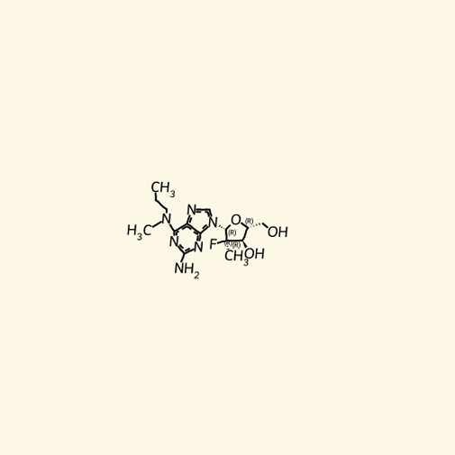 CCCN(C)c1nc(N)nc2c1ncn2[C@@H]1O[C@H](CO)[C@@H](O)[C@@]1(C)F